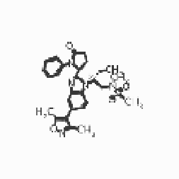 CC[C@H](CN(C)S(C)(=O)=O)n1c(C2CCC(=O)N2c2ccccc2)nc2cc(-c3c(C)noc3C)ccc21